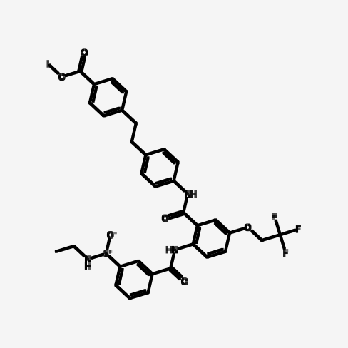 CCN[S+]([O-])c1cccc(C(=O)Nc2ccc(OCC(F)(F)F)cc2C(=O)Nc2ccc(CCc3ccc(C(=O)OI)cc3)cc2)c1